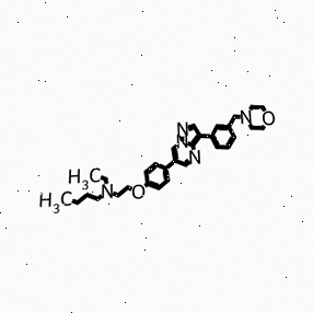 CCCCN(CC)CCOc1ccc(-c2cnc3c(-c4cccc(CN5CCOCC5)c4)cnn3c2)cc1